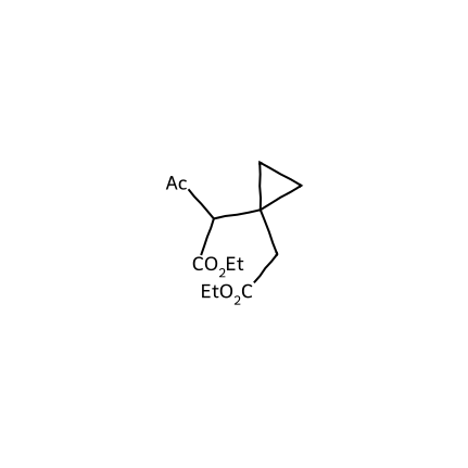 CCOC(=O)CC1(C(C(C)=O)C(=O)OCC)CC1